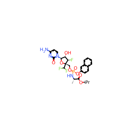 CC(C)OC(=O)[C@H](C)NP(=O)(OC[C@@]1(C(F)F)O[C@@H](n2ccc(N)nc2=O)[C@H](O)[C@H]1F)Oc1ccc2ccccc2c1